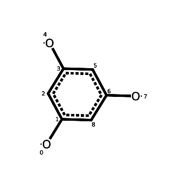 [O]c1cc([O])cc([O])c1